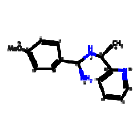 COc1ccc([C@H](N)N[C@@H](C)c2ccccn2)cc1